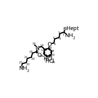 CCCCCCCC(N)CCCCOc1ccccc1CN(C)C(=O)CCCCCN.Cl.Cl